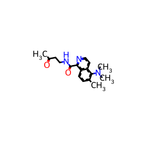 CC(=O)CCNC(=O)c1nccc2c(N(C)C)c(C)ccc12